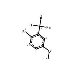 COc1cnc(Br)c(C(F)(F)F)c1